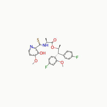 COc1cc(F)ccc1[C@@H](c1ccc(F)cc1)[C@H](C)OC(=O)[C@H](C)NC(=S)c1nccc(OC)c1O